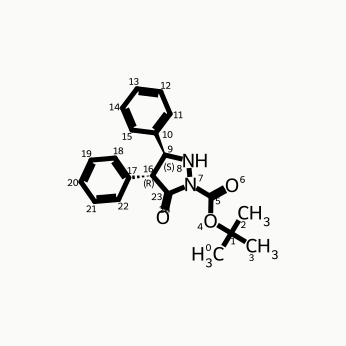 CC(C)(C)OC(=O)N1N[C@H](c2ccccc2)[C@@H](c2ccccc2)C1=O